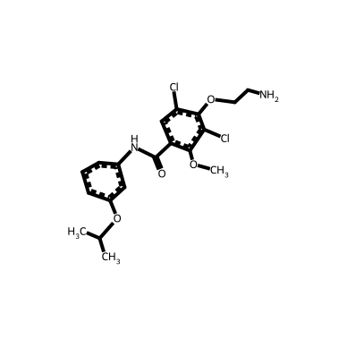 COc1c(C(=O)Nc2cccc(OC(C)C)c2)cc(Cl)c(OCCN)c1Cl